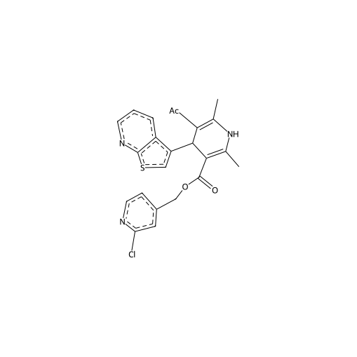 CC(=O)C1=C(C)NC(C)=C(C(=O)OCc2ccnc(Cl)c2)C1c1csc2ncccc12